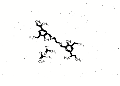 CC(=O)[O-].CC(=O)[O-].CCc1cc(C(C)CC)cc(C=NCCN=Cc2cc(C(C)CC)cc(CC)c2O)c1O.[Co+2]